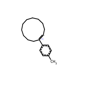 Cc1ccc(/C2=[C]/CCCCCCCCCC2)cc1